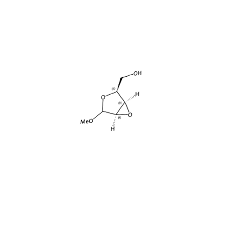 COC1O[C@@H](CO)[C@H]2O[C@@H]12